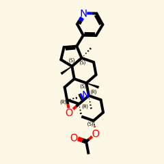 CC(=O)O[C@H]1CC[C@@]2(C)[C@@]3(C1)O[C@@]3(C#N)CC1[C@]2(C)CC[C@]2(C)C(c3cccnc3)=CC[C@@]12C